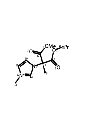 CCCOC(=O)[C@@](C)(C(=O)OC)n1cc[n+](C)c1